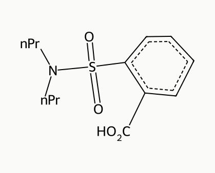 CCCN(CCC)S(=O)(=O)c1ccccc1C(=O)O